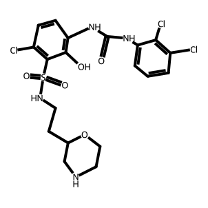 O=C(Nc1ccc(Cl)c(S(=O)(=O)NCCC2CNCCO2)c1O)Nc1cccc(Cl)c1Cl